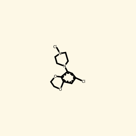 Clc1cc2c(c(N3CCN(Cl)CC3)c1)OCCO2